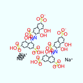 O=S(=O)([O-])c1cc(O)c2c(O)c(/N=N/c3cc(S(=O)(=O)O)cc4cc(S(=O)(=O)O)cc(O)c34)c(S(=O)(=O)[O-])cc2c1.O=S(=O)([O-])c1cc(O)c2c(O)c(/N=N/c3cc(S(=O)(=O)O)cc4cc(S(=O)(=O)O)cc(O)c34)c(S(=O)(=O)[O-])cc2c1.[Na+].[Na+].[Na+].[Na+]